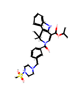 CC(C)OC(=O)C1=CN(C(=O)c2cccc(CN3CCN(S(C)(=O)=O)CC3)c2)CC(C)(C)c2c1[nH]c1ccccc21